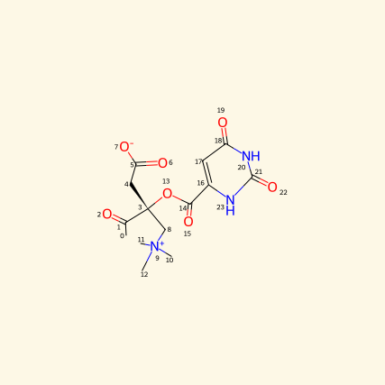 CC(=O)[C@@](CC(=O)[O-])(C[N+](C)(C)C)OC(=O)c1cc(=O)[nH]c(=O)[nH]1